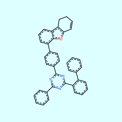 C1=Cc2oc3c(-c4ccc(-c5nc(-c6ccccc6)nc(-c6ccccc6-c6ccccc6)n5)cc4)cccc3c2CC1